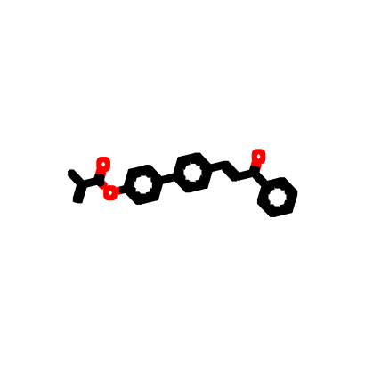 C=C(C)C(=O)Oc1ccc(-c2ccc(C=CC(=O)c3ccccc3)cc2)cc1